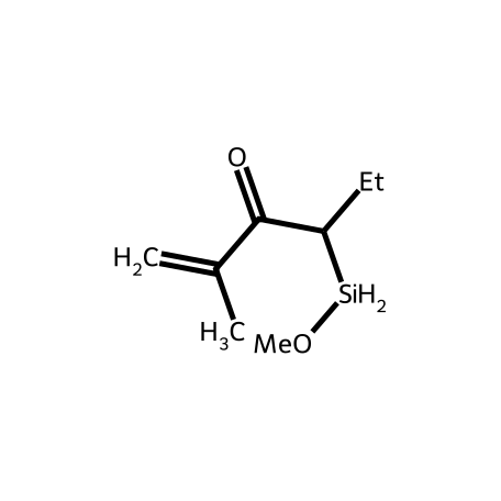 C=C(C)C(=O)C(CC)[SiH2]OC